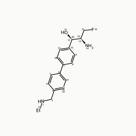 CCNCc1ccc(-c2ccc([C@@H](O)[C@H](N)CF)cc2)cn1